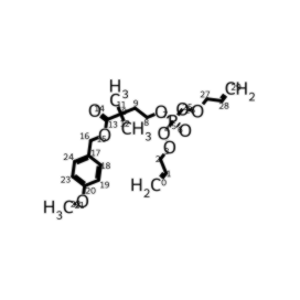 C=CCOOP(=O)(OCCC(C)(C)C(=O)OCc1ccc(OC)cc1)OOCC=C